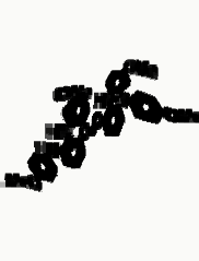 COc1ccc(Nc2cccc(OCOc3cccc(Nc4ccc(OC)cc4)c3Nc3ccc(OC)cc3)c2Nc2ccc(OC)cc2)cc1